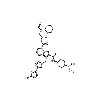 CC(C)N1CCC(NC(=O)c2cc3c(C(=O)OC(COC=O)OC4CCCCC4)cccc3n2Cc2cc(-c3ccc(Cl)s3)on2)CC1